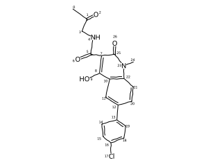 CC(=O)CNC(=O)c1c(O)c2cc(-c3ccc(Cl)cc3)ccc2n(C)c1=O